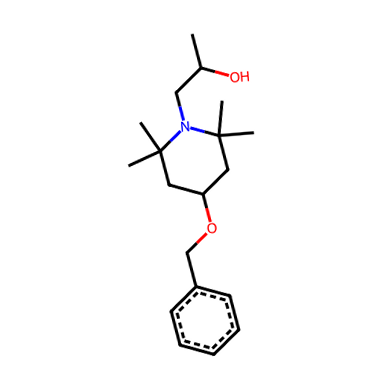 CC(O)CN1C(C)(C)CC(OCc2ccccc2)CC1(C)C